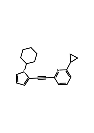 C(#Cc1cccn1C1CCCCC1)c1cccc(C2CC2)n1